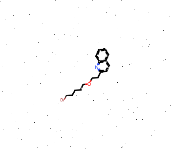 BrCCCCCOCCc1ccc2ccccc2n1